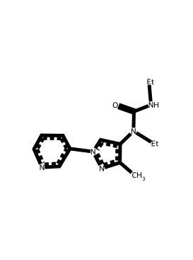 CCNC(=O)N(CC)c1cn(-c2cccnc2)nc1C